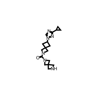 O=C(N1CC2(CNC2)C1)N1CC2(CC(n3cnc(C4CC4)n3)C2)C1